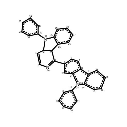 C1=CC2C(C(c3ccc4c5ccccc5n(-c5ccccc5)c4c3)=N1)c1ccccc1N2c1ccccc1